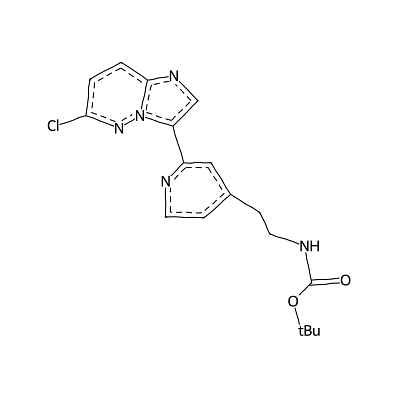 CC(C)(C)OC(=O)NCCc1ccnc(-c2cnc3ccc(Cl)nn23)c1